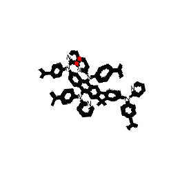 CC(C)c1ccc(N(c2ccc3c(c2)C(C)(C)c2cc4c(N(c5ccc(C(C)C)cc5)c5ccccn5)c5ccc(N(c6ccc(C(C)C)cc6)c6ccccn6)cc5c(N(c5ccc(C(C)C)cc5)c5ccccn5)c4cc2-3)c2ccccn2)cc1